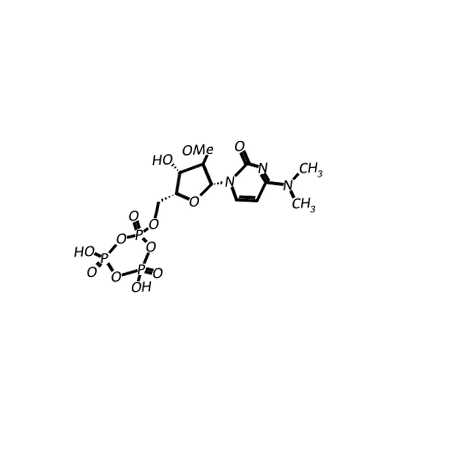 COC1[C@@H](O)[C@@H](COP2(=O)OP(=O)(O)OP(=O)(O)O2)O[C@H]1n1ccc(N(C)C)nc1=O